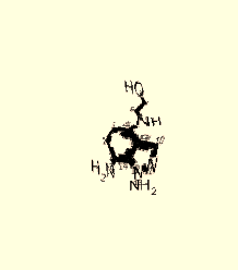 Nc1ccc(NCCO)c2cnn(N)c12